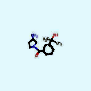 C[Si](C)(O)c1cccc(C(=O)N2CCC(N)C2)c1